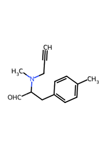 C#CCN(C)C(C=O)Cc1ccc(C)cc1